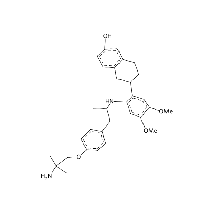 COc1cc(NC(C)Cc2ccc(OCC(C)(C)N)cc2)c(C2CCc3cc(O)ccc3C2)cc1OC